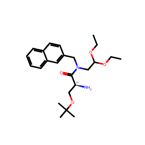 CCOC(CN(Cc1ccc2ccccc2c1)C(=O)[C@@H](N)COC(C)(C)C)OCC